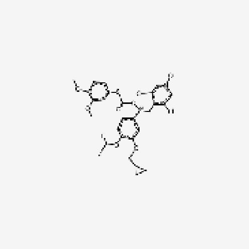 COc1ccc(SC(=O)O[C@@H](Cc2c(Cl)c[n+]([O-])cc2Cl)c2ccc(OC(F)F)c(OCC3CC3)c2)cc1OC